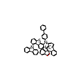 C\C1=C/C=C(N(c2ccc(-c3ccccc3)cc2)c2cccc3c2sc2cccc(-n4c5ccccc5c5ccccc54)c23)\C=C\C2(c3ccccc31)c1ccccc1-c1ccccc12